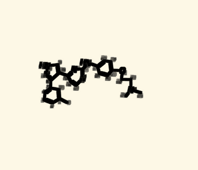 Cc1cccc(-c2n[nH]cc2-c2ccnc(Nc3ccc(OCCN(C)C)cc3)n2)c1